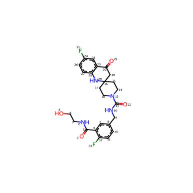 O=C(NCCO)c1cc(CNC(=O)N2CCC3(CC2)CC(=O)c2cc(F)ccc2N3)ccc1F